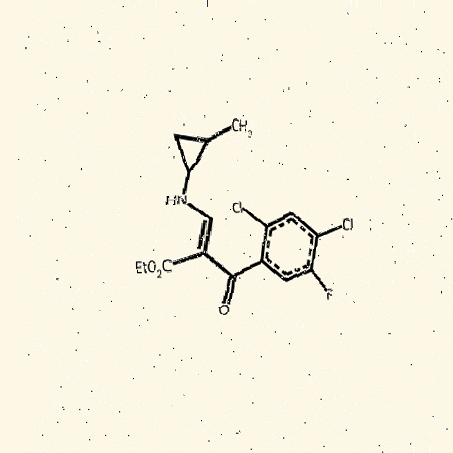 CCOC(=O)C(=CNC1CC1C)C(=O)c1cc(F)c(Cl)cc1Cl